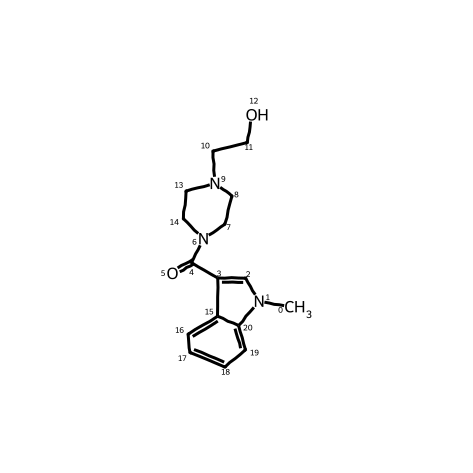 Cn1cc(C(=O)N2CCN(CCO)CC2)c2ccccc21